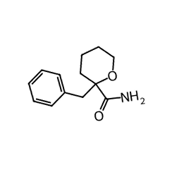 NC(=O)C1(Cc2ccccc2)CCCCO1